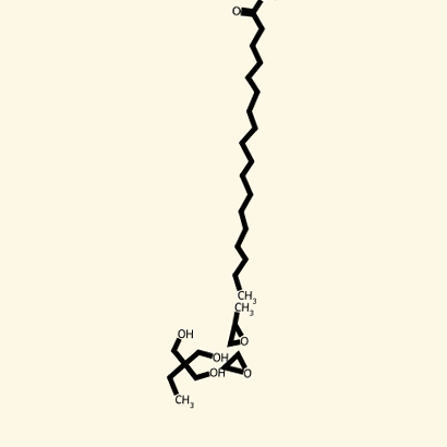 C1CO1.CC1CO1.CCC(CO)(CO)CO.CCCCCCCCCCCCCCCCCC(=O)O